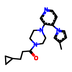 Cc1ccn(-c2ccncc2N2CCN(C(=O)CCC3CC3)CC2)c1